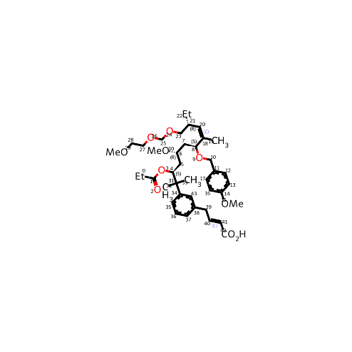 CCC(=O)O[C@@H](C[C@@H](C[C@H](OCc1ccc(OC)cc1)/C(C)=C\[C@@H](CC)COCOCCOC)OC)C(C)(C)c1cccc(C/C=C/C(=O)O)c1